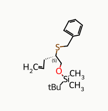 C=CC[C@@H](CO[Si](C)(C)C(C)(C)C)SCc1ccccc1